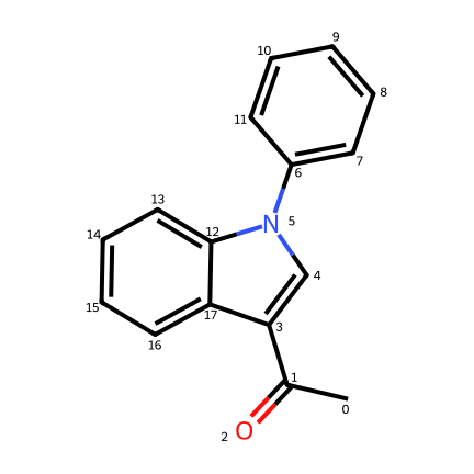 CC(=O)c1cn(-c2ccccc2)c2ccccc12